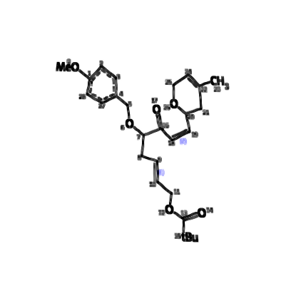 COc1ccc(COC(C/C=C/COC(=O)C(C)(C)C)C(=O)/C=C\C2CC(C)=CCO2)cc1